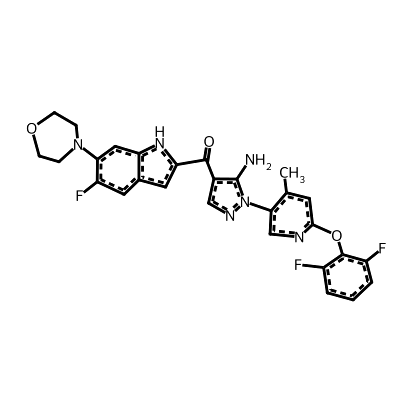 Cc1cc(Oc2c(F)cccc2F)ncc1-n1ncc(C(=O)c2cc3cc(F)c(N4CCOCC4)cc3[nH]2)c1N